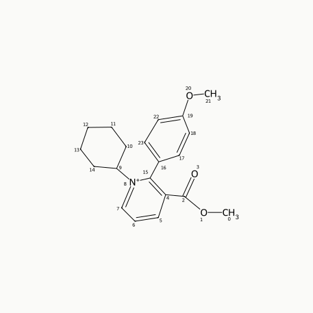 COC(=O)c1ccc[n+](C2CCCCC2)c1-c1ccc(OC)cc1